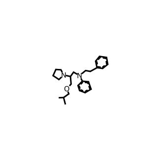 CC(C)COCC(CN(CCc1ccccc1)c1ccccc1)N1CCCC1